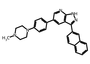 CN1CCN(c2ccc(-c3cnc4[nH]nc(-c5ccc6ccccc6c5)c4c3)cc2)CC1